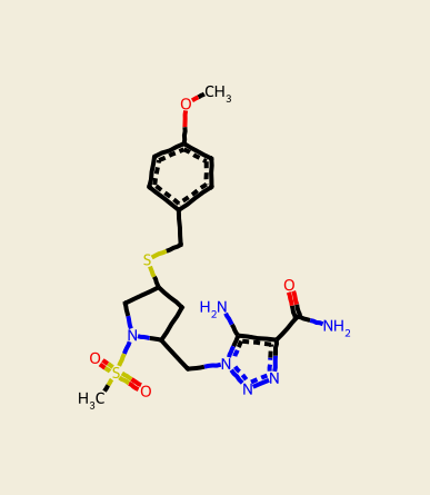 COc1ccc(CSC2CC(Cn3nnc(C(N)=O)c3N)N(S(C)(=O)=O)C2)cc1